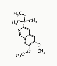 CCC(C)(C)c1cc2cc(OC)c(OC)cc2cn1